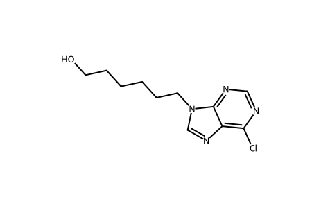 OCCCCCCn1cnc2c(Cl)ncnc21